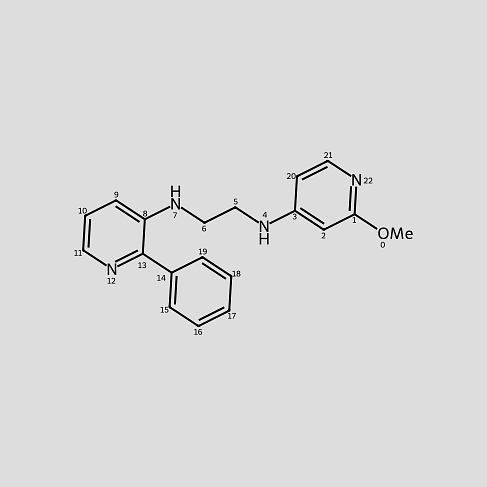 COc1cc(NCCNc2cccnc2-c2ccccc2)ccn1